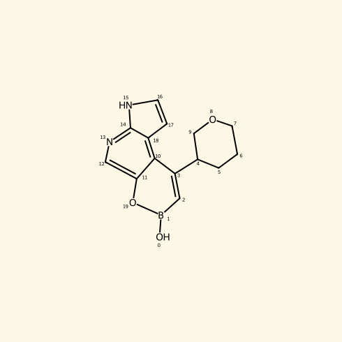 OB1C=C(C2CCCOC2)c2c(cnc3[nH]ccc23)O1